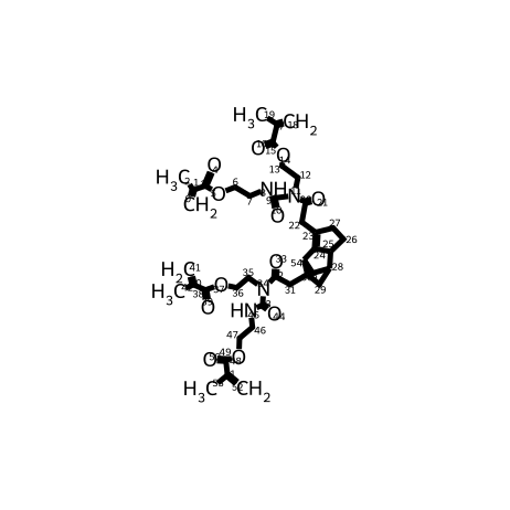 C=C(C)C(=O)OCCNC(=O)N(CCOC(=O)C(=C)C)C(=O)CC1=C2C(CC1)C1CC(CC(=O)N(CCOC(=O)C(=C)C)C(=O)NCCOC(=O)C(=C)C)C2C1